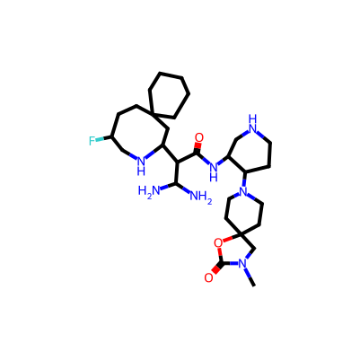 CN1CC2(CCN(C3CCNCC3NC(=O)C(C(N)N)C3CC4(CCCCC4)CCC(F)CN3)CC2)OC1=O